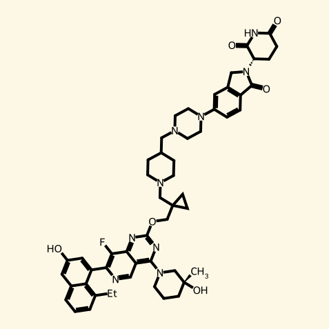 CCc1cccc2cc(O)cc(-c3ncc4c(N5CCC[C@@](C)(O)C5)nc(OCC5(CN6CCC(CN7CCN(c8ccc9c(c8)CN([C@H]8CCC(=O)NC8=O)C9=O)CC7)CC6)CC5)nc4c3F)c12